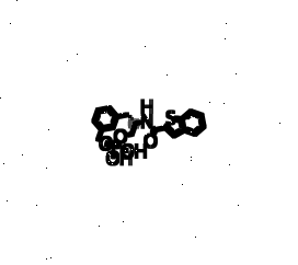 Cc1cccc(C[C@@H](COP(=O)(O)O)NC(=O)c2cc3ccccc3s2)c1